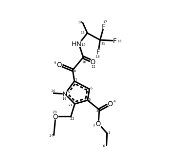 CCOC(=O)c1cc(C(=O)C(=O)NC(C)C(F)(F)F)n(C)c1COC